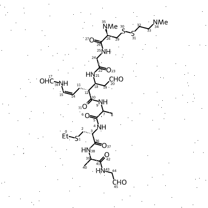 CCSC[C@H](NC(=O)C(C)NC(=O)[C@H](C/C=C\NC=O)C(CC=O)NC(=O)CNC(=O)[C@H](CSSCCNC)NC)C(=O)NC(C)C(=O)NCC=O